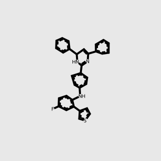 Fc1ccc(Nc2ccc(C3=NC(c4ccccc4)=CC(c4ccccc4)N3)cc2)c(-c2ccsc2)c1